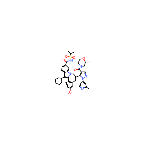 COc1ccc2c(c1)C=C(c1c(C(=O)N3C[C@@H](C)O[C@@H](C)C3)cnn1-c1ccnc(C)c1)Cn1c-2c(C2CCCCC2)c2ccc(C(=O)NS(=O)(=O)C(C)C)cc21